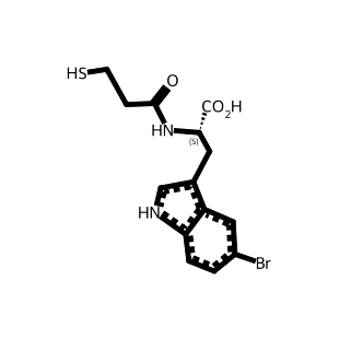 O=C(CCS)N[C@@H](Cc1c[nH]c2ccc(Br)cc12)C(=O)O